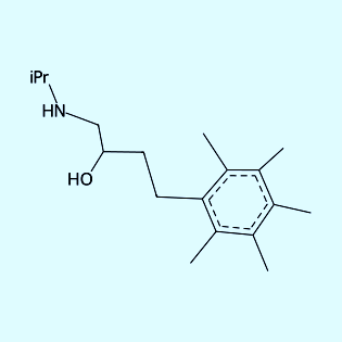 Cc1c(C)c(C)c(CCC(O)CNC(C)C)c(C)c1C